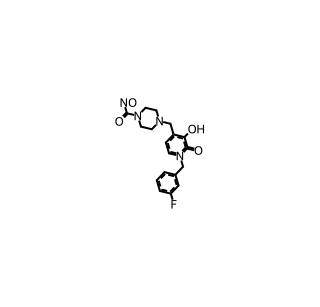 O=NC(=O)N1CCN(Cc2ccn(Cc3cccc(F)c3)c(=O)c2O)CC1